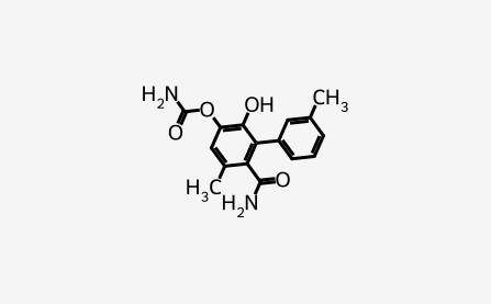 Cc1cccc(-c2c(O)c(OC(N)=O)cc(C)c2C(N)=O)c1